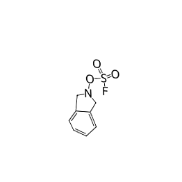 O=S(=O)(F)ON1Cc2ccccc2C1